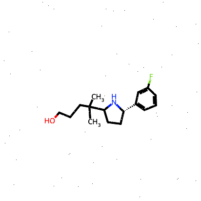 CC(C)(CCCO)C1CC[C@@H](c2cccc(F)c2)N1